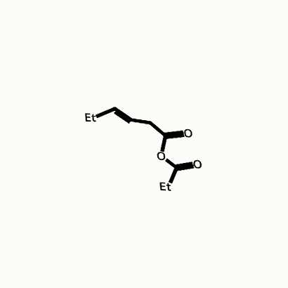 CCC=CCC(=O)OC(=O)CC